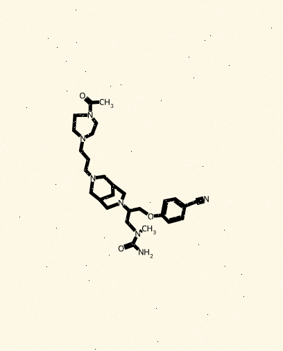 CC(=O)N1CCN(CCCN2CC3CC(C2)CN(C(COc2ccc(C#N)cc2)CN(C)C(N)=O)C3)CC1